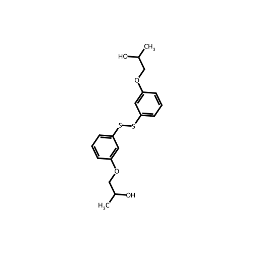 CC(O)COc1cccc(SSc2cccc(OCC(C)O)c2)c1